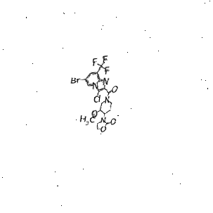 COC1CN(C(=O)c2nc3c(C(F)(F)F)cc(Br)cn3c2Cl)CCC1N1CCOC1=O